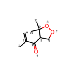 C=C(C)C(=O)C1COOC1(C)C